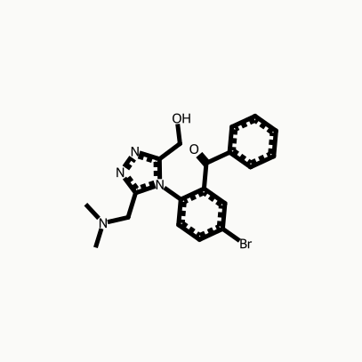 CN(C)Cc1nnc(CO)n1-c1ccc(Br)cc1C(=O)c1ccccc1